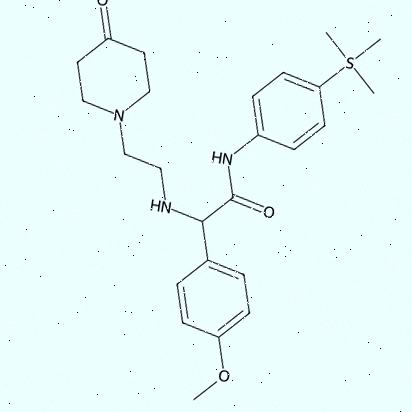 COc1ccc(C(NCCN2CCC(=O)CC2)C(=O)Nc2ccc(S(C)(C)C)cc2)cc1